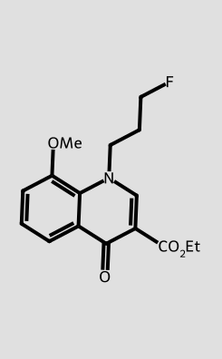 CCOC(=O)c1cn(CCCF)c2c(OC)cccc2c1=O